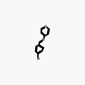 Brc1ccc(/C=N/c2ccncc2)cc1